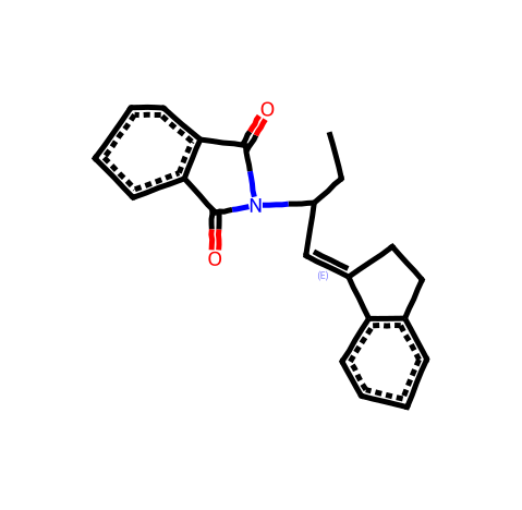 CCC(/C=C1\CCc2ccccc21)N1C(=O)c2ccccc2C1=O